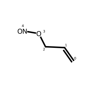 C=CCON=O